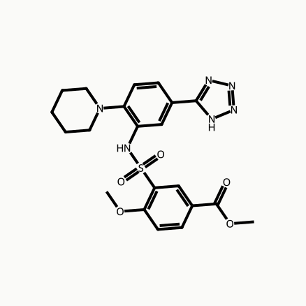 COC(=O)c1ccc(OC)c(S(=O)(=O)Nc2cc(-c3nnn[nH]3)ccc2N2CCCCC2)c1